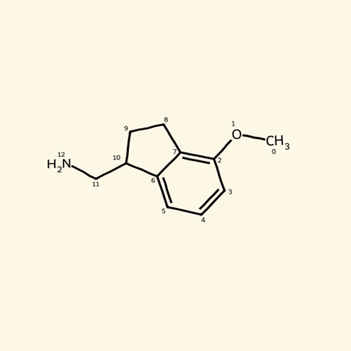 COc1cccc2c1CCC2CN